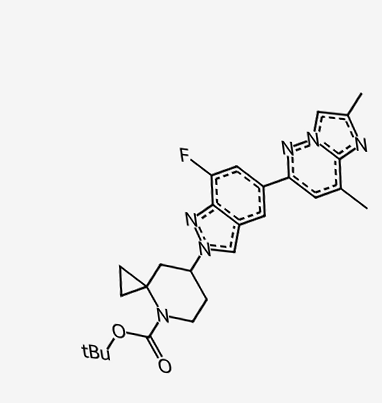 Cc1cn2nc(-c3cc(F)c4nn(C5CCN(C(=O)OC(C)(C)C)C6(CC6)C5)cc4c3)cc(C)c2n1